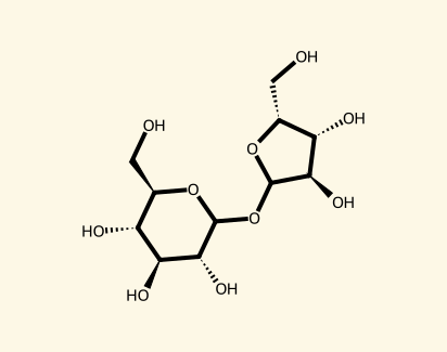 OC[C@H]1OC(OC2O[C@H](CO)[C@H](O)[C@H]2O)[C@H](O)[C@@H](O)[C@@H]1O